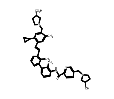 Cc1cc(/C=C/c2cccc(-c3cccc(NC(=O)c4ccc(CN5CC[C@@H](O)C5)cn4)c3C)c2C)c(C2CC2)cc1CN1CC[C@@H](C(=O)O)C1